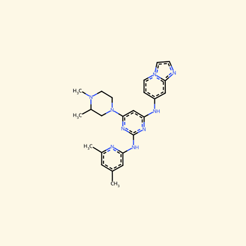 Cc1cc(C)nc(Nc2nc(Nc3ccn4ccnc4c3)cc(N3CCN(C)C(C)C3)n2)c1